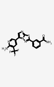 NC(=O)c1cccc(-c2nn3c(-c4cnc(N)c(C(F)(F)F)c4)cnc3s2)c1